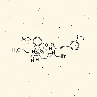 C=CCN1CC[C@@]23c4c5ccc(OC(C)=O)c4C[C@@H]1[C@@H]2CC[C@H](N(CC(C)C)C(=O)C#Cc1cccc(C)c1)[C@@H]3O5